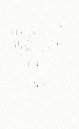 CCS(=O)(=O)c1cc(-c2ccc(CN3CCCCC[C@@H]3c3ccccc3)[nH]2)c(OC)c(C(C)(C)C)c1